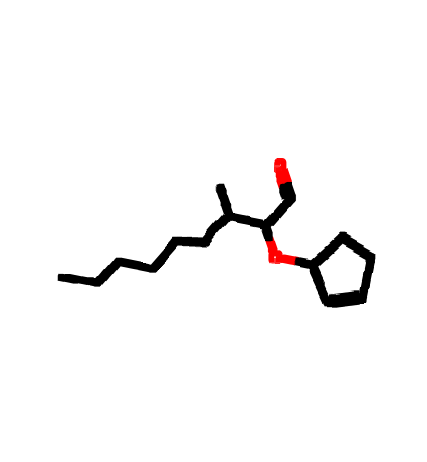 CCCCCCC(C)C(C=O)OC1C=CCC1